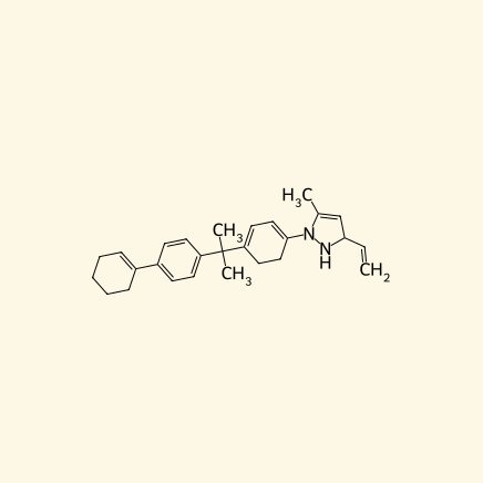 C=CC1C=C(C)N(C2=CC=C(C(C)(C)c3ccc(C4=CCCCC4)cc3)CC2)N1